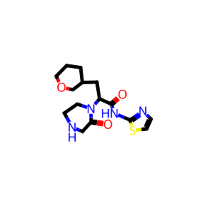 O=C(Nc1nccs1)C(CC1CCCOC1)N1CCNCC1=O